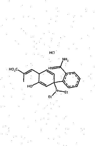 CCN(CC)C1(c2ccccc2C(=N)N)C=CC(/C=C(\C)C(=O)O)C(O)=C1.Cl